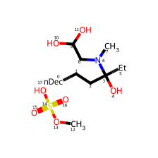 CCCCCCCCCCCCC(O)(CC)N(C)CC(O)O.COS(=O)(=O)O